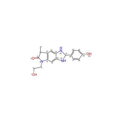 CC1C(=O)N(CCO)c2cc3c(cc21)NC(c1ccc(O)cc1)N3